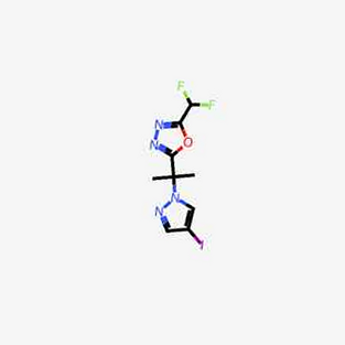 CC(C)(c1nnc(C(F)F)o1)n1cc(I)cn1